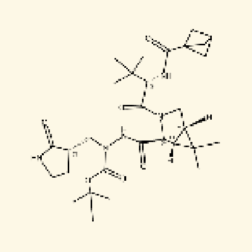 CC(C)(C)OC(=O)N(C[C@@H]1CCNC1=O)NC(=O)[C@@H]1[C@@H]2[C@H](CN1C(=O)[C@@H](NC(=O)C13CC(C1)C3)C(C)(C)C)C2(C)C